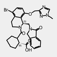 Cn1cnc(COc2ccc(Br)c3c2[C@@H](CN2Cc4ccccc4C2=O)N(C(=O)C2CCCC[C@H]2C(=O)O)CC3)n1